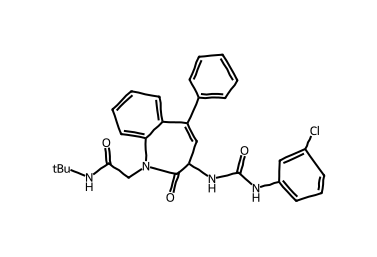 CC(C)(C)NC(=O)CN1C(=O)C(NC(=O)Nc2cccc(Cl)c2)C=C(c2ccccc2)c2ccccc21